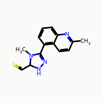 Cc1ccc2c(C3=NNC(C=S)N3C)cccc2n1